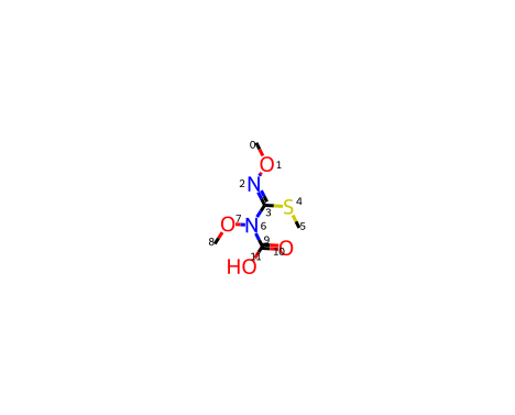 CON=C(SC)N(OC)C(=O)O